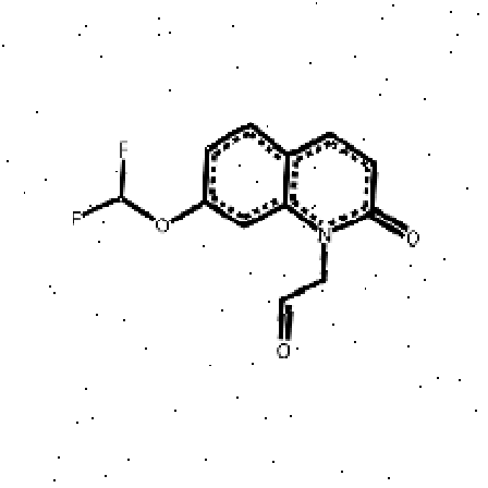 O=CCn1c(=O)ccc2ccc(OC(F)F)cc21